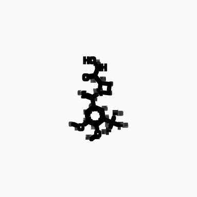 COc1cc(C(=S)N2CCC2C(=O)NO)cc(C(F)(F)F)c1OC